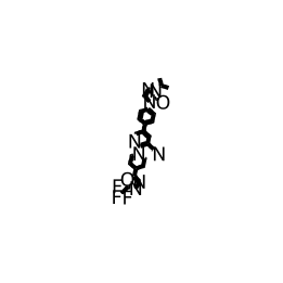 CC(C)n1ncn(-c2ccc(-c3cnc(N4CCC(c5nnc(C(F)(F)F)o5)CC4)c(C#N)c3)cc2)c1=O